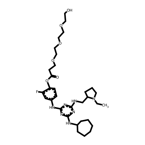 CCN1CCCC1CNc1nc(Nc2ccc(OC(=O)CCOCCOCCOCCO)c(F)c2)nc(NC2CCCCCC2)n1